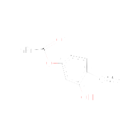 CCCC(=O)Oc1ccc(OC)c(O)c1